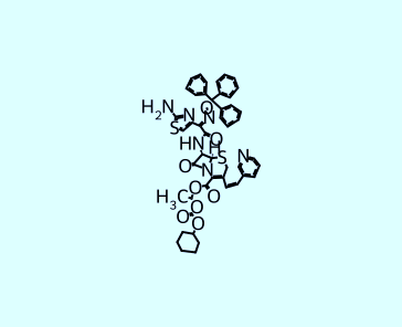 CC(OC(=O)OC1CCCCC1)OC(=O)C1=C(/C=C\c2cccnc2)CS[C@@H]2[C@H](NC(=O)/C(=N/OC(c3ccccc3)(c3ccccc3)c3ccccc3)c3csc(N)n3)C(=O)N12